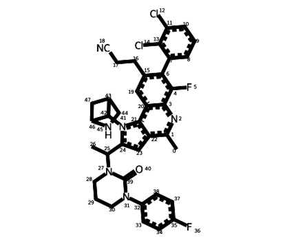 Cc1nc2c(F)c(-c3cccc(Cl)c3Cl)c(CCC#N)cc2c2c1cc(C(C)N1CCCN(c3ccc(F)cc3)C1=O)n2C1C2CNC1C2